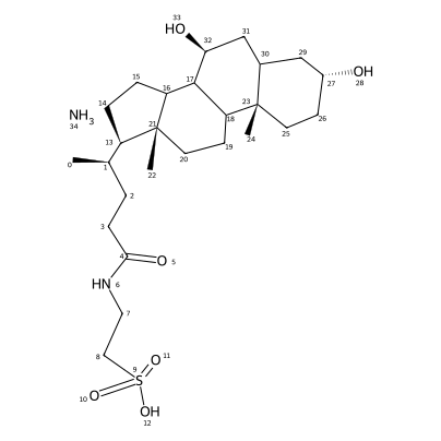 C[C@H](CCC(=O)NCCS(=O)(=O)O)[C@H]1CCC2C3C(CC[C@@]21C)[C@@]1(C)CC[C@@H](O)CC1C[C@@H]3O.N